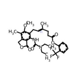 CCN(CC)C(=O)Nc1c(C/C=C(\C)CCC(=O)Oc2ccccc2C(F)(F)F)c(OC)c(C)c2c1C(=O)OC2